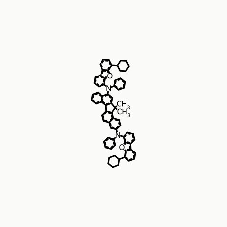 CC1(C)c2cc(N(c3ccccc3)c3cccc4c3oc3c(C5CCCCC5)cccc34)c3ccccc3c2-c2ccc3cc(N(c4ccccc4)c4cccc5c4oc4c(C6CCCCC6)cccc45)ccc3c21